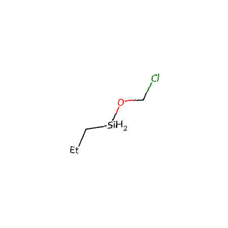 CCC[SiH2]OCCl